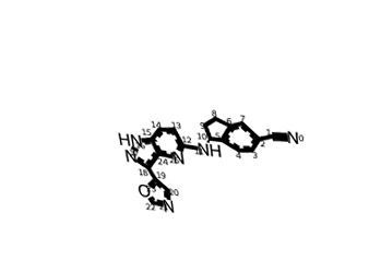 N#Cc1ccc2c(c1)CC[C@H]2Nc1ccc2[nH]nc(-c3cnco3)c2n1